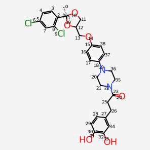 C[C@]1(c2ccc(Cl)cc2Cl)OCC(COc2ccc(N3CCN(C(=O)CCc4ccc(O)c(O)c4)CC3)cc2)O1